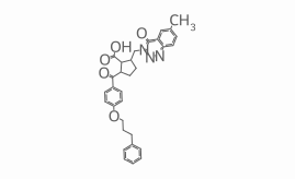 Cc1ccc2nnn(CC3CCC(C(=O)c4ccc(OCCCc5ccccc5)cc4)C3C(=O)O)c(=O)c2c1